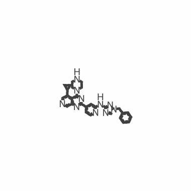 c1ccc(Cn2cnc(Nc3cc(-c4nc(N5CCNCC5)c5c(C6CC6)cncc5n4)ccn3)n2)cc1